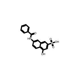 O=C(Nc1ccc2c(O)[c]c(S(=O)(=O)O)cc2c1)c1ccccc1